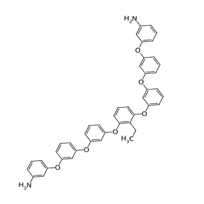 CCc1c(Oc2cccc(Oc3cccc(Oc4cccc(N)c4)c3)c2)cccc1Oc1cccc(Oc2cccc(Oc3cccc(N)c3)c2)c1